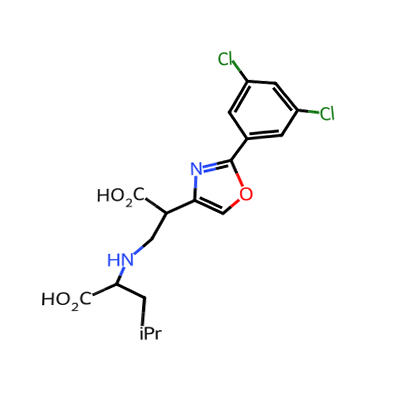 CC(C)CC(NCC(C(=O)O)c1coc(-c2cc(Cl)cc(Cl)c2)n1)C(=O)O